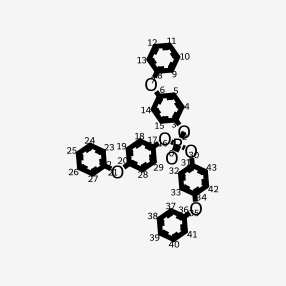 O=P(Oc1ccc(Oc2ccccc2)cc1)(Oc1ccc(Oc2ccccc2)cc1)Oc1ccc(Oc2ccccc2)cc1